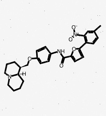 Cc1ccc(-c2ccc(C(=O)Nc3ccc(OC[C@@H]4CCCN5CCCC[C@H]45)cc3)o2)c([N+](=O)[O-])c1